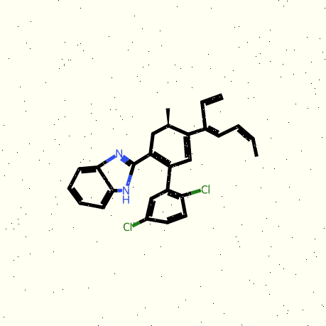 C=C/C(=C\C=C/C)C1=CC(c2cc(Cl)ccc2Cl)=C(c2nc3ccccc3[nH]2)C[C@H]1C